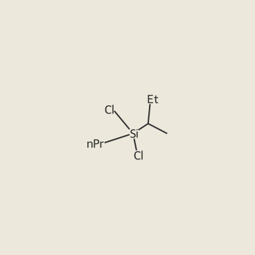 CCC[Si](Cl)(Cl)C(C)CC